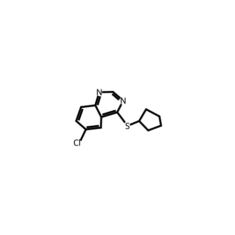 Clc1ccc2ncnc(SC3CCCC3)c2c1